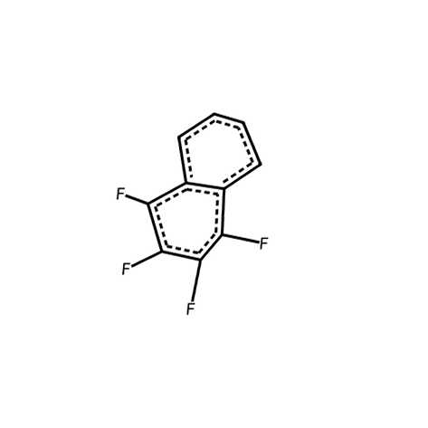 Fc1c(F)c(F)c2ccccc2c1F